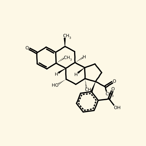 CC(=O)[C@@]1(c2ccccc2C(=O)O)CC[C@H]2[C@@H]3C[C@H](C)C4=CC(=O)C=C[C@]4(C)[C@H]3[C@@H](O)C[C@@]21C